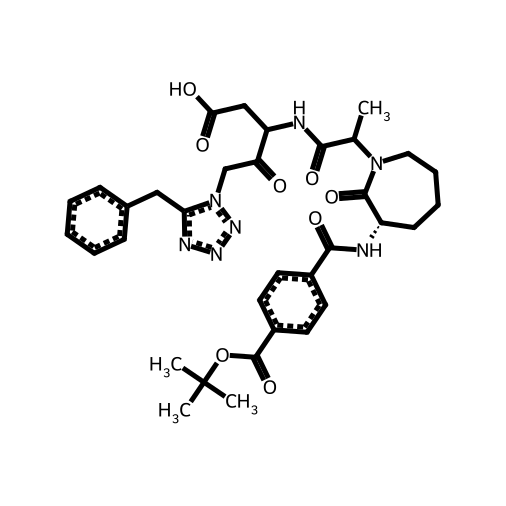 CC(C(=O)NC(CC(=O)O)C(=O)Cn1nnnc1Cc1ccccc1)N1CCCC[C@H](NC(=O)c2ccc(C(=O)OC(C)(C)C)cc2)C1=O